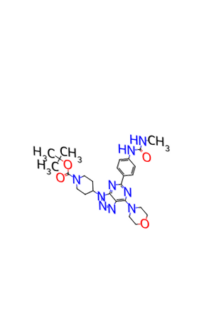 CNC(=O)Nc1ccc(-c2nc(N3CCOCC3)c3nnn(C4CCN(C(=O)OC(C)(C)C)CC4)c3n2)cc1